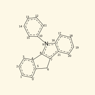 [c]1cccc2c1Cc1c-2n(-c2ccccc2)c2ccccc12